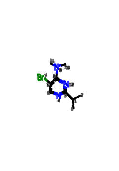 CC(C)c1ncc(Br)c(N(C)C)n1